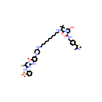 COc1cc(N2CCC(NCCCCCCCCCCCN[C@H](C(=O)N3C[C@H](O)C[C@H]3C(=O)NCc3ccc(-c4scnc4C)cc3)C(C)(C)C)CC2)ccc1Nc1ncc(Cl)c(Nc2ccccc2P(C)(C)=O)n1